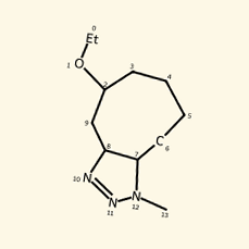 CCOC1CCCCC2C(C1)N=NN2C